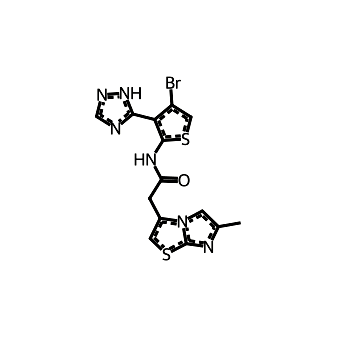 Cc1cn2c(CC(=O)Nc3scc(Br)c3-c3ncn[nH]3)csc2n1